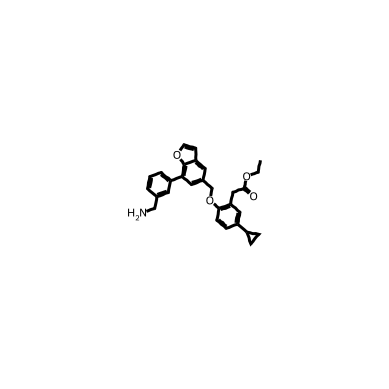 CCOC(=O)Cc1cc(C2CC2)ccc1OCc1cc(-c2cccc(CN)c2)c2occc2c1